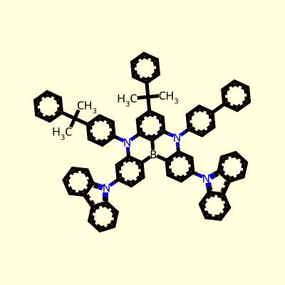 CC(C)(c1ccccc1)c1ccc(N2c3cc(-n4c5ccccc5c5ccccc54)ccc3B3c4ccc(-n5c6ccccc6c6ccccc65)cc4N(c4ccc(-c5ccccc5)cc4)c4cc(C(C)(C)c5ccccc5)cc2c43)cc1